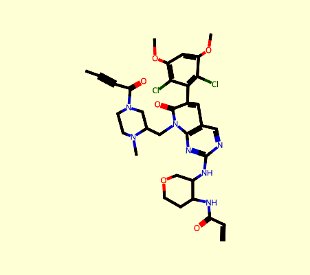 C=CC(=O)NC1CCOCC1Nc1ncc2cc(-c3c(Cl)c(OC)cc(OC)c3Cl)c(=O)n(CC3CN(C(=O)C#CC)CCN3C)c2n1